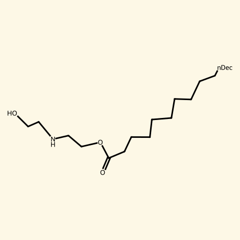 CCCCCCCCCCCCCCCCCCCC(=O)OCCNCCO